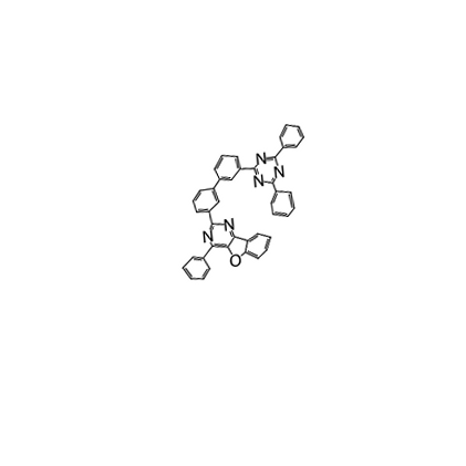 c1ccc(-c2nc(-c3ccccc3)nc(-c3cccc(-c4cccc(-c5nc(-c6ccccc6)c6oc7ccccc7c6n5)c4)c3)n2)cc1